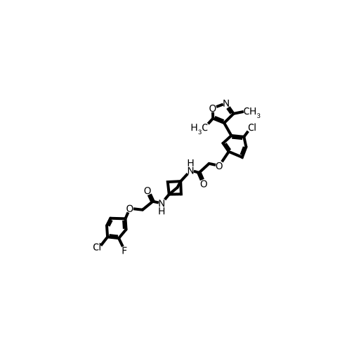 Cc1noc(C)c1-c1cc(OCC(=O)NC23CC(NC(=O)COc4ccc(Cl)c(F)c4)(C2)C3)ccc1Cl